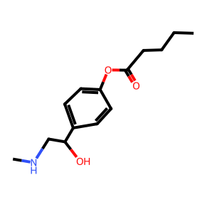 CCCCC(=O)Oc1ccc(C(O)CNC)cc1